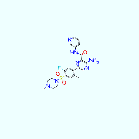 Cc1cc(S(=O)(=O)N2CCN(C)CC2)c(F)cc1-c1cnc(N)c(C(=O)Nc2cccnc2)n1